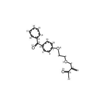 C=C(COCCOc1ccc(C(=O)c2ccccc2)cc1)C(C)=O